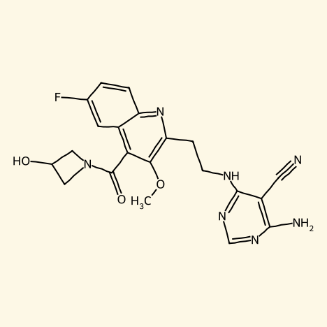 COc1c(CCNc2ncnc(N)c2C#N)nc2ccc(F)cc2c1C(=O)N1CC(O)C1